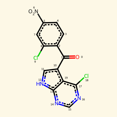 O=C(c1ccc([N+](=O)[O-])cc1Cl)c1c[nH]c2ncnc(Cl)c12